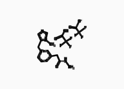 Cn1cncc1C[n+]1cccc(CC(=O)NN)c1.O=C(O)C(F)(F)F.O=C([O-])C(F)(F)F